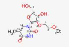 CCOCCO[C@@H]1[C@H](O)[C@@H](CO)O[C@H]1n1cc(C)c(=O)[nH]c1=O